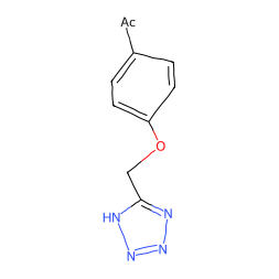 CC(=O)c1ccc(OCc2nnn[nH]2)cc1